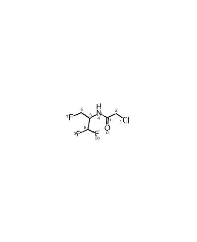 O=C(CCl)NC(CF)C(F)F